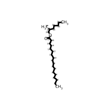 CCCCCCCCCCCCCCCCCC(=O)OCC(C)CCCCC